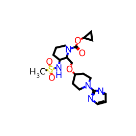 CS(=O)(=O)NC1CCCN(C(=O)OC2CC2)C1COC1CCN(c2ncccn2)CC1